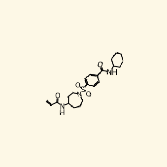 C=CC(=O)NC1CCCN(S(=O)(=O)c2ccc(C(=O)NC3CCCCC3)cc2)CC1